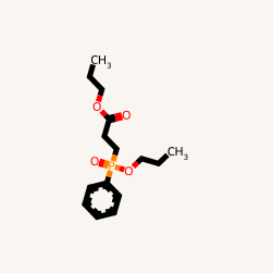 CCCOC(=O)CCP(=O)(OCCC)c1ccccc1